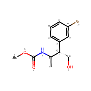 CC(NC(=O)OC(C)(C)C)[C@@H](CO)c1cccc(Br)c1